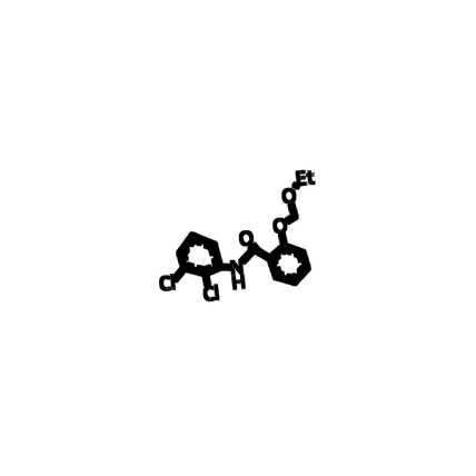 CCOCOc1ccccc1C(=O)Nc1cccc(Cl)c1Cl